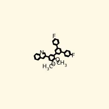 COc1cc(-c2cnc3ccccc3c2)cc(-c2cc(-c3ccc(F)cc3)cc(-c3ccc(F)cc3)c2)c1OC